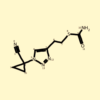 N#CC1(n2cc([CH]CSC(N)=O)nn2)CC1